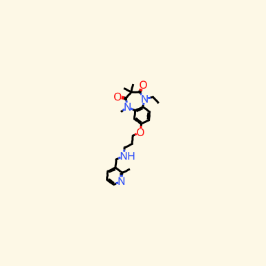 CCN1C(=O)C(C)(C)C(=O)N(C)c2cc(OCCCNCc3cccnc3C)ccc21